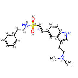 CN(C)CCc1c[nH]c2ccc(/C=C/S(=O)(=O)NCCc3ccccc3)cc12